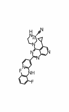 N#C[C@H]1CN(c2nc(-c3ccnc(Nc4c(F)cccc4F)c3)nc3cncc(C4CC4)c23)CCN1